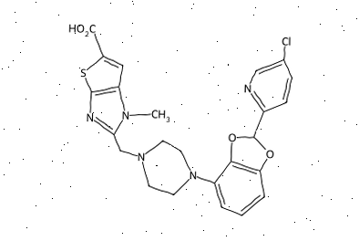 Cn1c(CN2CCN(c3cccc4c3OC(c3ccc(Cl)cn3)O4)CC2)nc2sc(C(=O)O)cc21